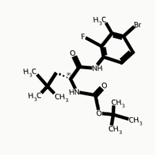 Cc1c(Br)ccc(NC(=O)[C@@H](CC(C)(C)C)NC(=O)OC(C)(C)C)c1F